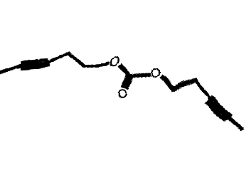 CC#CCCOC(=O)OCCC#CC